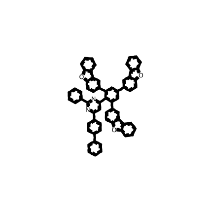 c1ccc(-c2ccc(-c3cc(-c4c(-c5ccc6oc7ccccc7c6c5)cc(-c5ccc6oc7ccccc7c6c5)cc4-c4ccc5oc6ccccc6c5c4)nc(-c4ccccc4)n3)cc2)cc1